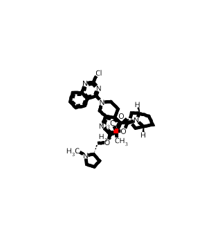 CN1CCC[C@H]1COc1nc2c(c(N3C[C@H]4CC[C@@H](C3)N4C(=O)OC(C)(C)C)n1)CCN(c1nc(Cl)nc3ccccc13)C2